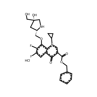 Cl.O=C(OCc1ccccc1)c1cn(C2CC2)c2c(OC[C@@H]3C[C@@](O)(CO)CN3)c(F)c(F)cc2c1=O